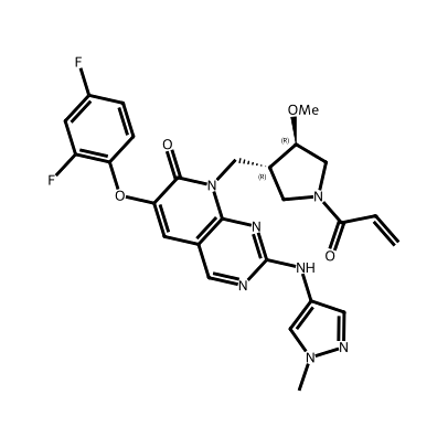 C=CC(=O)N1C[C@H](Cn2c(=O)c(Oc3ccc(F)cc3F)cc3cnc(Nc4cnn(C)c4)nc32)[C@@H](OC)C1